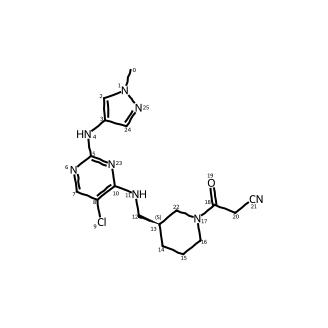 Cn1cc(Nc2ncc(Cl)c(NC[C@@H]3CCCN(C(=O)CC#N)C3)n2)cn1